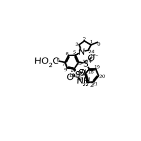 CC1CCN(c2cc(C(=O)O)cc(S(N)(=O)=O)c2[S+]([O-])c2ccccc2)C1